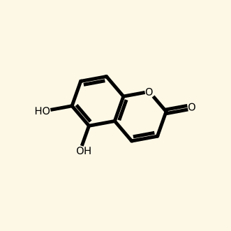 O=c1ccc2c(O)c(O)ccc2o1